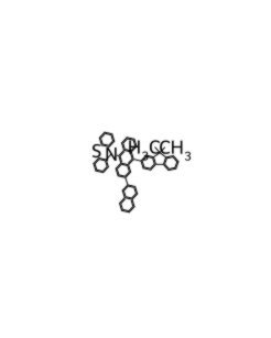 CC1(C)c2ccccc2-c2ccc(-c3c4ccccc4c(N4c5ccccc5Sc5ccccc54)c4ccc(-c5ccc6ccccc6c5)cc34)cc21